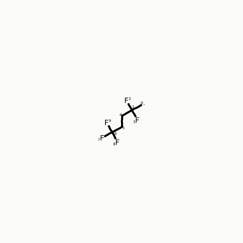 [CH2]C(F)(F)CCC(F)(F)F